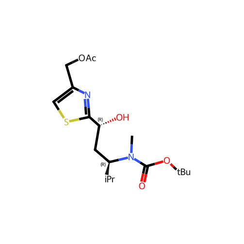 CC(=O)OCc1csc([C@H](O)C[C@H](C(C)C)N(C)C(=O)OC(C)(C)C)n1